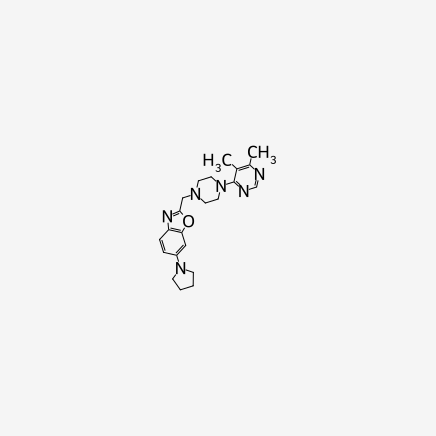 Cc1ncnc(N2CCN(Cc3nc4ccc(N5CCCC5)cc4o3)CC2)c1C